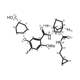 COc1cc(F)c(O[C@H]2CC[C@@H](C(=O)O)CC2)cc1C(=O)N[C@@H]1[C@H]2CC[C@H](C2)[C@@H]1C(=O)NCCC1CC1